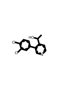 CC(O)c1ccncc1-c1ccc(Cl)c(Cl)c1